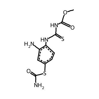 COC(=O)NC(=S)Nc1ccc(SC(N)=O)cc1N